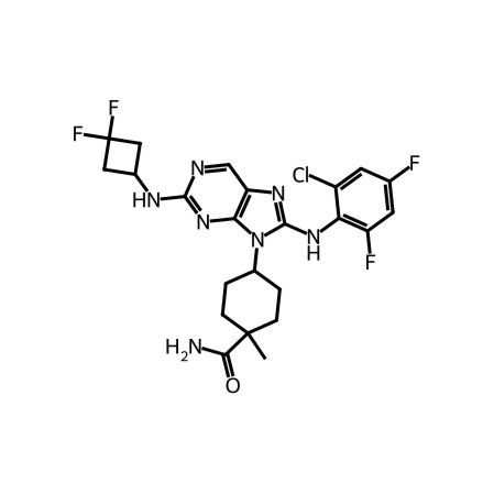 CC1(C(N)=O)CCC(n2c(Nc3c(F)cc(F)cc3Cl)nc3cnc(NC4CC(F)(F)C4)nc32)CC1